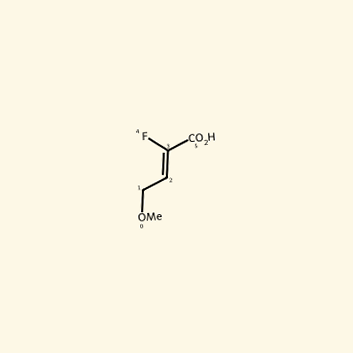 COCC=C(F)C(=O)O